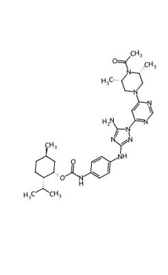 CC(=O)N1[C@H](C)CN(c2cc(-n3nc(Nc4ccc(NC(=O)O[C@H]5C[C@H](C)CC[C@H]5C(C)C)cc4)nc3N)ncn2)C[C@@H]1C